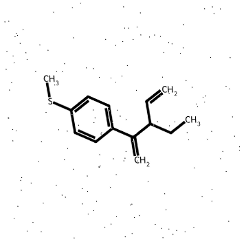 C=CC(CC)C(=C)c1ccc(SC)cc1